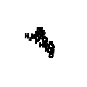 COc1cnc2c(Nc3ccc(F)c([C@@]4(CF)C[C@H](C(F)(F)F)N=C(N)O4)c3)nccc2n1